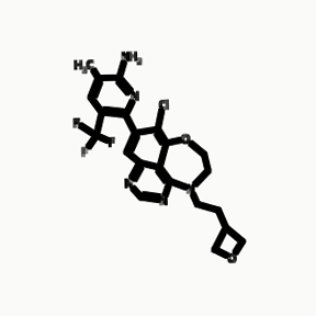 Cc1cc(C(F)(F)F)c(-c2cc3ncnc4c3c(c2Cl)OCCN4CCC2COC2)nc1N